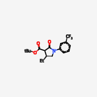 CCC1CN(c2cccc(C(F)(F)F)c2)C(=O)C1C(=O)OC(C)(C)C